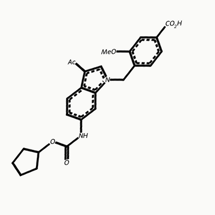 COc1cc(C(=O)O)ccc1Cn1cc(C(C)=O)c2ccc(NC(=O)OC3CCCC3)cc21